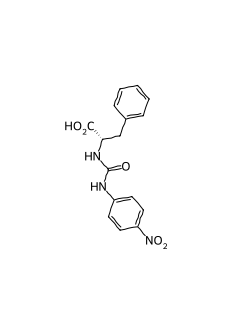 O=C(Nc1ccc([N+](=O)[O-])cc1)N[C@@H](Cc1ccccc1)C(=O)O